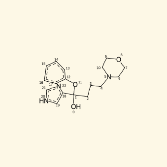 OC(CCCN1CCOCC1)(Oc1ccccc1)c1c[nH]cn1